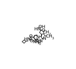 C=C1C(CC(=O)NO)=C(n2ccc(S(=O)(=O)NCC3CCC3)c(N)c2=O)C(N)=NC1C